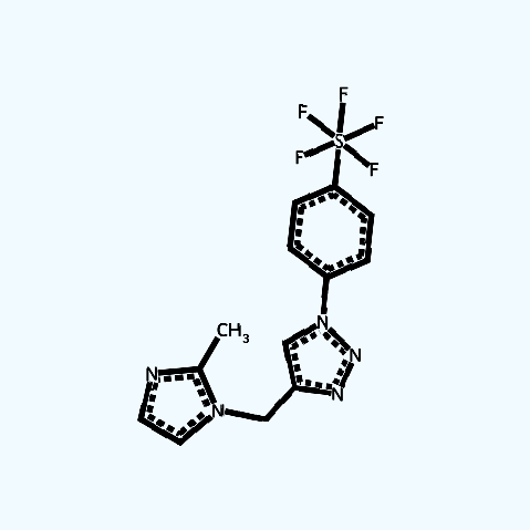 Cc1nccn1Cc1cn(-c2ccc(S(F)(F)(F)(F)F)cc2)nn1